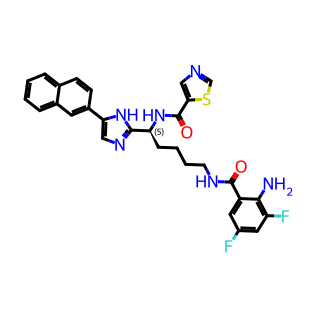 Nc1c(F)cc(F)cc1C(=O)NCCCC[C@H](NC(=O)c1cncs1)c1ncc(-c2ccc3ccccc3c2)[nH]1